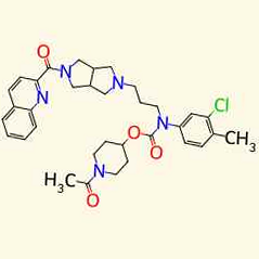 CC(=O)N1CCC(OC(=O)N(CCCN2CC3CN(C(=O)c4ccc5ccccc5n4)CC3C2)c2ccc(C)c(Cl)c2)CC1